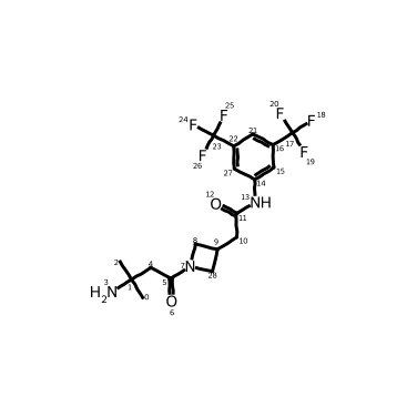 CC(C)(N)CC(=O)N1CC(CC(=O)Nc2cc(C(F)(F)F)cc(C(F)(F)F)c2)C1